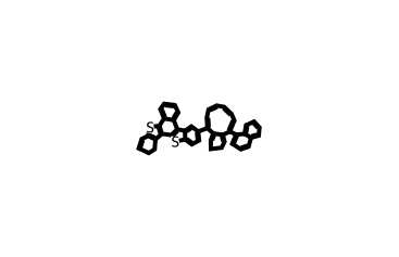 C1=Cc2sc3c4ccccc4c4c5cc(-c6ccccccc(-c7cccc8ccccc78)c7c6=CCCC=7)ccc5sc4c3c2CC1